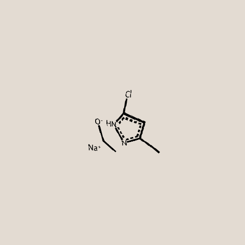 CC[O-].Cc1cc(Cl)[nH]n1.[Na+]